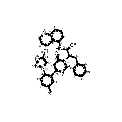 O=C(Nc1cccc2ncccc12)C(Cc1ccccc1)n1cnc(-c2cc(Cl)ccc2-n2cc(Cl)nn2)cc1=O